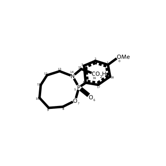 COc1ccc(P2(=O)OCCCCCCN2CC(=O)O)cc1